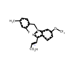 Cc1ccc(Cn2nc(/C=C/C(=O)O)c3ccc(OC(F)(F)F)cc32)c(F)c1